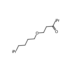 CC(C)CCCCOCCC(=O)C(C)C